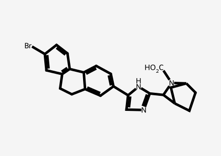 O=C(O)N1C2CCC(C2)C1c1ncc(-c2ccc3c(c2)CCc2cc(Br)ccc2-3)[nH]1